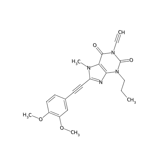 C#Cn1c(=O)c2c(nc(C#Cc3ccc(OC)c(OC)c3)n2C)n(CCC)c1=O